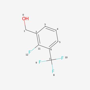 OCc1cccc(C(F)(F)F)c1F